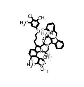 Cc1cccc(Cn2c(C(=O)O)c(N3C[C@@H](C)n4c(c(CCCOc5cc(C)c(Cl)c(C)c5)c5ccc(Cl)c(-c6c(C)nn(C)c6C)c54)C3=O)c3ccccc32)n1